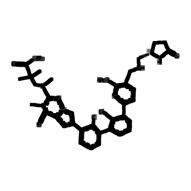 COC(=O)C(C)(C)CN(C)c1nn2cc(-c3cccc(-c4cccc(-c5ccc(CNC[C@@H]6CCC(=O)N6)c(OC)n5)c4Cl)c3Cl)cc2c(=O)n1C